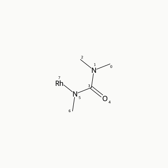 CN(C)C(=O)[N](C)[Rh]